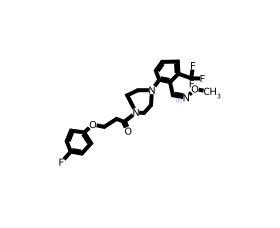 CO/N=C\c1c(N2CCN(C(=O)CCOc3ccc(F)cc3)CC2)cccc1C(F)(F)F